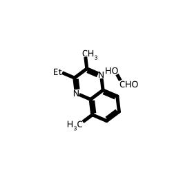 CCc1nc2c(C)cccc2nc1C.O=CO